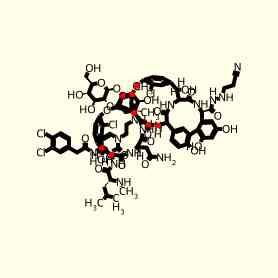 CN[C@H](CC(C)C)C(=O)N[C@H]1C(=O)N[C@@H](CC(N)=O)C(=O)N[C@H]2C(=O)N[C@H]3C(=O)N[C@H](C(=O)N[C@@H](C(=O)NNCCC#N)c4cc(O)cc(O)c4-c4cc3ccc4O)[C@H](O)c3ccc(c(Cl)c3)Oc3cc2cc(c3O[C@@H]2O[C@H](CO)[C@@H](O)[C@H](O)[C@H]2O[C@H]2C[C@](C)(NCCn3ccc(NC(=O)Cc4ccc(Cl)c(Cl)c4)nc3=O)[C@H](O)[C@H](C)O2)Oc2ccc(cc2Cl)[C@H]1O